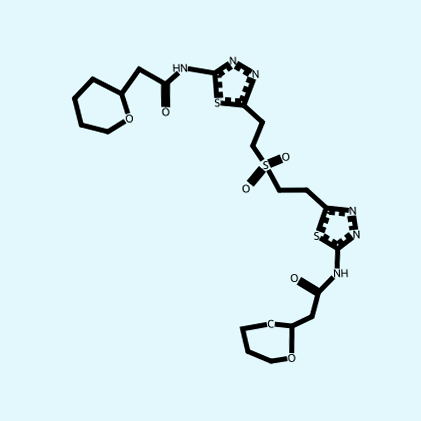 O=C(CC1CCCCO1)Nc1nnc(CCS(=O)(=O)CCc2nnc(NC(=O)CC3CCCCO3)s2)s1